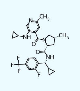 Cc1cc(C(=O)N2C[C@H](C)C[C@@H]2C(=O)N[C@@H](c2ccc(C(F)(F)F)cc2F)C2CC2)c(NC2CC2)cn1